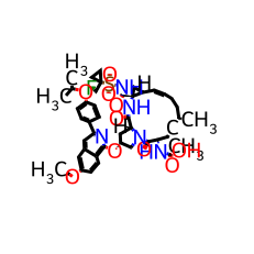 COc1ccc2c(O[C@@H]3C[C@H]4C(=O)N[C@]5(C(=O)NS(=O)(=O)C6(CF)CC6)C[C@H]5C=CCC[C@@H](C)C[C@@H](C)[C@H](NC(=O)O)C(=O)N4C3)nc(-c3ccc(OC(C)C)cc3)cc2c1